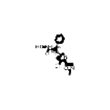 Cc1ncc(-c2ncc([C@H]3[C@H](C(=O)NO)[C@@H]3C3C=CC=CC3)cc2Cl)o1